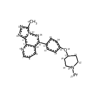 Cc1nnc2c3ncccc3c(-c3ccc(OC4CCN(C(C)C)CC4)cc3)nn12